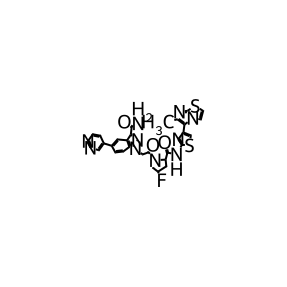 Cc1nc2sccn2c1-c1csc(NC(=O)C2CC(F)CN2C(=O)Cn2nc(C(N)=O)c3cc(-c4ccnnc4)ccc32)n1